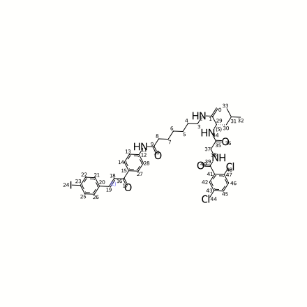 C=C(NCCCCCCC(=O)Nc1ccc(C(=O)/C=C/c2ccc(I)cc2)cc1)[C@H](CC(C)C)NC(=O)CNC(=O)c1cc(Cl)ccc1Cl